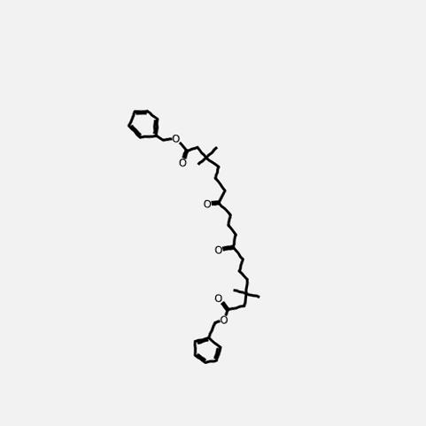 CC(C)(CCCC(=O)CCCC(=O)CCCC(C)(C)CC(=O)OCc1ccccc1)CC(=O)OCc1ccccc1